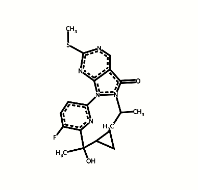 CSc1ncc2c(=O)n(C(C)C)n(-c3ccc(F)c(C(C)(O)C4CC4)n3)c2n1